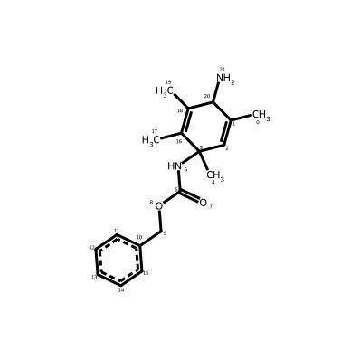 CC1=CC(C)(NC(=O)OCc2ccccc2)C(C)=C(C)C1N